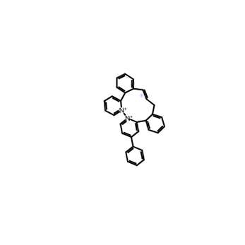 C1=C/c2ccccc2-c2cccc[n+]2-[n+]2ccc(-c3ccccc3)cc2-c2ccccc2C/1